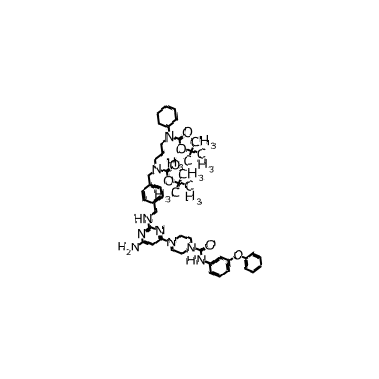 CC(C)(C)OC(=O)N(CCCN(C(=O)OC(C)(C)C)C1CCCCC1)Cc1ccc(CNc2nc(N)cc(N3CCN(C(=O)Nc4cccc(Oc5ccccc5)c4)CC3)n2)cc1